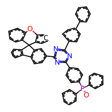 O=P(c1ccccc1)(c1ccccc1)c1ccc(-c2nc(-c3ccc(-c4ccccc4)cc3)nc(-c3ccc4c(c3)C3(c5ccccc5Oc5ccccc53)c3ccccc3-4)n2)cc1